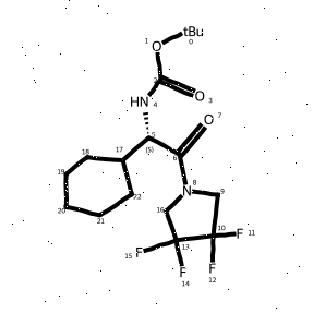 CC(C)(C)OC(=O)N[C@H](C(=O)N1CC(F)(F)C(F)(F)C1)C1CCCCC1